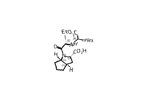 CCCCCC[C@@H](N[C@@H](C)C(=O)N1[C@H](C(=O)O)C[C@@H]2CCC[C@@H]21)C(=O)OCC